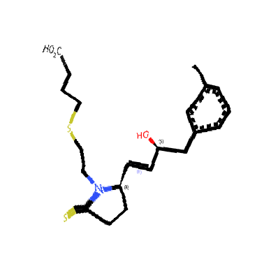 Cc1cccc(C[C@H](O)/C=C/[C@H]2CCC(=S)N2CCSCCCC(=O)O)c1